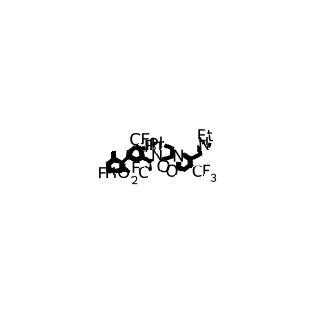 CCN(C)CCc1cn(C(CC(C)C)C(=O)N[C@@H](CC(=O)O)c2c(F)c(-c3c(C)cc(F)cc3C)cc(C(F)(F)F)c2F)c(=O)cc1C(F)(F)F